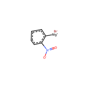 O=[N+]([O-])c1cccc[c]1[Mg+].[Br-]